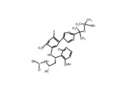 COc1ccnc(Cl)c1[C@@H](C[C@H](C#N)N[S+]([O-])C(C)(C)C)Nc1cc(-c2cnc(C(C)(C)O[Si](C)(C)C(C)(C)C)nc2)c(F)cc1[N+](=O)[O-]